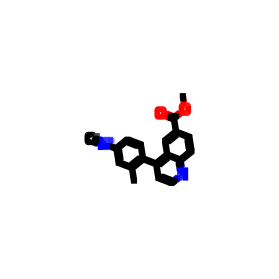 [C-]#[N+]c1ccc(-c2ccnc3ccc(C(=O)OC)cc23)c(C)c1